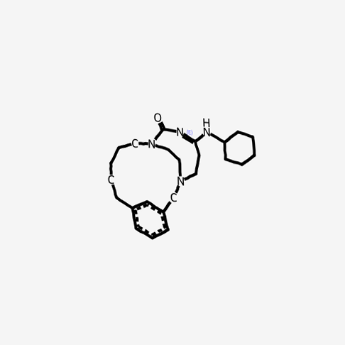 O=C1/N=C(/NC2CCCCC2)CCN2CCN1CCCCCc1cccc(c1)C2